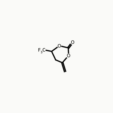 C=C1CC(C(F)(F)F)OC(=O)O1